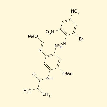 C=C(C)C(=O)Nc1cc(N=COC)c(/N=N/c2c(Br)cc([N+](=O)[O-])cc2[N+](=O)[O-])cc1OC